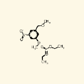 CCO[PH](=O)OCC.COCc1cc(OC)cc([N+](=O)[O-])c1